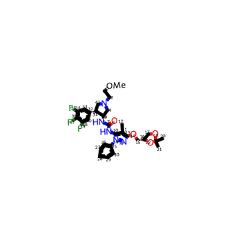 COCCN1C[C@@H](NC(=O)Nc2c(C)c(OC[C@@H]3COC(C)(C)O3)nn2-c2ccccc2)[C@H](c2cc(F)c(F)c(F)c2)C1